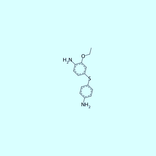 CCOc1cc(Sc2ccc(N)cc2)ccc1N